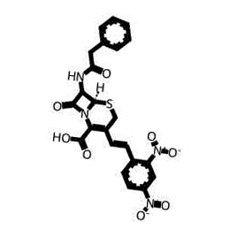 O=C(Cc1ccccc1)NC1C(=O)N2C(C(=O)O)=C(/C=C/c3ccc([N+](=O)[O-])cc3[N+](=O)[O-])CS[C@H]12